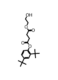 CC(C)(C)c1ccc(OC(=O)CCC(=O)OCCO)c(C(C)(C)C)c1